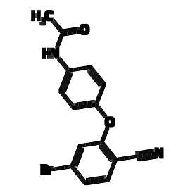 CC(=O)Nc1ccc(Oc2cc(Br)ccc2C#N)cc1